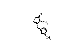 Cn1cnc(Cc2noc(=O)n2C)c1